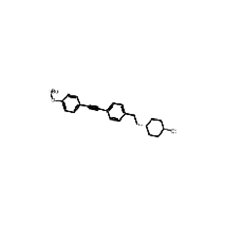 CCCCOc1ccc(C#Cc2ccc(CC[C@H]3CC[C@H](CC)CC3)cc2)cc1